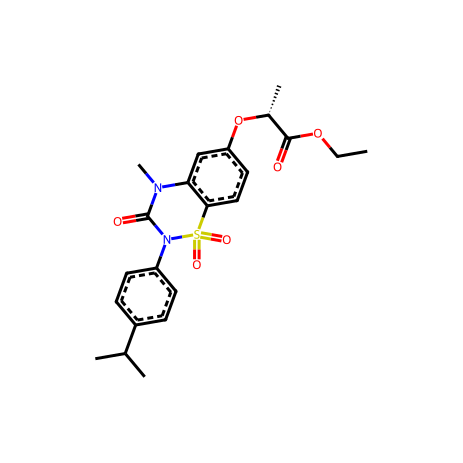 CCOC(=O)[C@@H](C)Oc1ccc2c(c1)N(C)C(=O)N(c1ccc(C(C)C)cc1)S2(=O)=O